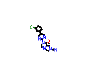 N#CN1CCN2CCN(c3ncc(-c4cccc(Cl)c4)cn3)C(=O)[C@H]2C1